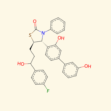 O=C1S[C@H](CCC(O)c2ccc(F)cc2)[C@@H](c2ccc(-c3cccc(O)c3)cc2O)N1c1ccccc1